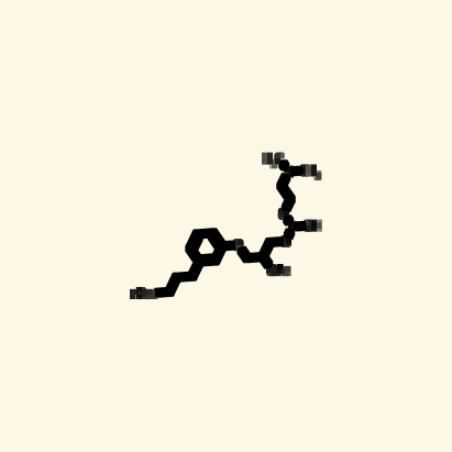 CCCCCCCCCCCCCc1cccc(OCC(COP(O)OCCN(C)C)OC(C)=O)c1